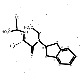 CCC(N[C@@H](C)C(=O)N(CC(=O)O)C1Cc2ccccc2C1)C(=O)O